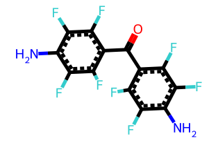 Nc1c(F)c(F)c(C(=O)c2c(F)c(F)c(N)c(F)c2F)c(F)c1F